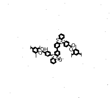 O=C(Oc1c(I)cc(I)cc1I)c1ccc([S+]2c3ccccc3Sc3ccc(-c4ccc5c(c4)[S+](c4ccc(C(O)Oc6c(I)cc(I)cc6I)cc4)c4ccccc4[S+]5[O-])cc32)cc1